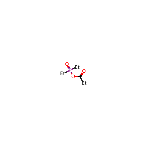 CCC(=O)OP(=O)(CC)CC